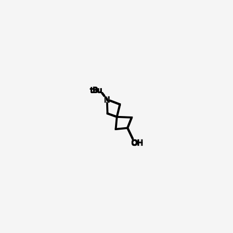 CC(C)(C)N1CC2(CC(O)C2)C1